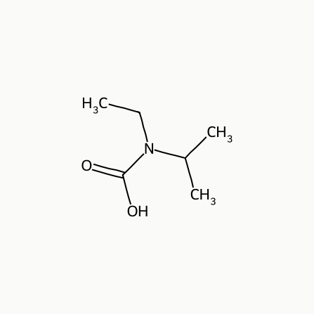 CCN(C(=O)O)C(C)C